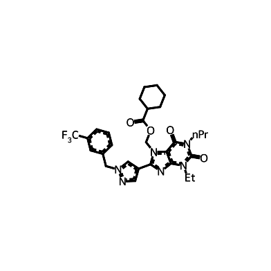 CCCn1c(=O)c2c(nc(-c3cnn(Cc4cccc(C(F)(F)F)c4)c3)n2COC(=O)C2CCCCC2)n(CC)c1=O